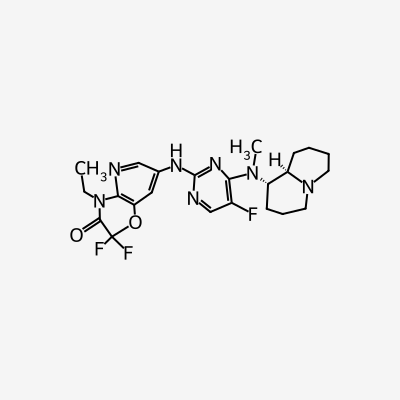 CCN1C(=O)C(F)(F)Oc2cc(Nc3ncc(F)c(N(C)[C@H]4CCCN5CCCC[C@H]45)n3)cnc21